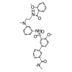 COc1ccccc1C(=O)NCCN(C)c1cccc(NS(=O)(=O)c2cc(-c3cccc(C(=O)N(C)C)c3)ccc2OC)c1